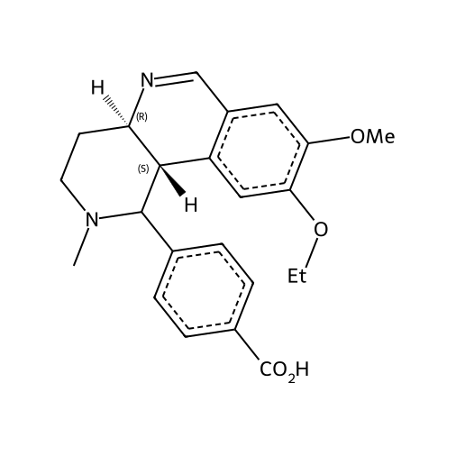 CCOc1cc2c(cc1OC)C=N[C@@H]1CCN(C)C(c3ccc(C(=O)O)cc3)[C@@H]21